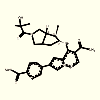 CNC(=O)c1ccc(-c2cc3c(N[C@@H]4CC5CN(C(=O)C(C)(C)O)C[C@@H]5[C@H]4C)c(C(N)=O)cnn3c2)cn1